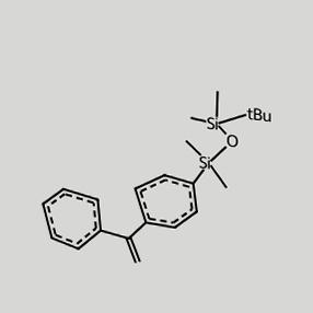 C=C(c1ccccc1)c1ccc([Si](C)(C)O[Si](C)(C)C(C)(C)C)cc1